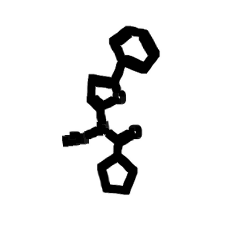 CCCCN(C(=O)C1CCCC1)c1ccc(-c2ccccc2)o1